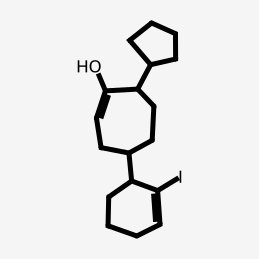 OC1=CCC(C2CCCC=C2I)CCC1C1CCCC1